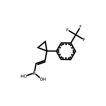 OB(O)/C=C/C1(c2cccc(C(F)(F)F)c2)CC1